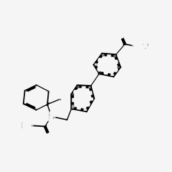 CCCCC(=O)N(Cc1ccc(-c2ccc(C(=O)OC)cc2)cc1)C1(F)C=CC=CC1